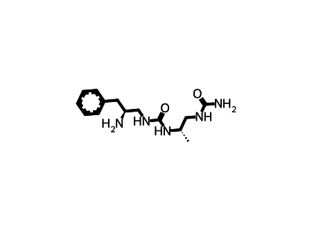 C[C@@H](CNC(N)=O)NC(=O)NC[C@@H](N)Cc1ccccc1